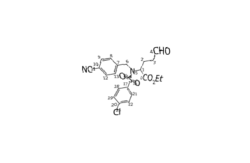 CCOC(=O)C(CCC=O)N(Cc1ccc(C#N)cc1)S(=O)(=O)c1ccc(Cl)cc1